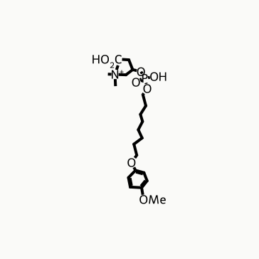 COc1ccc(OCCCCCCCCOP(=O)(O)OC(CC(=O)O)C[N+](C)(C)C)cc1